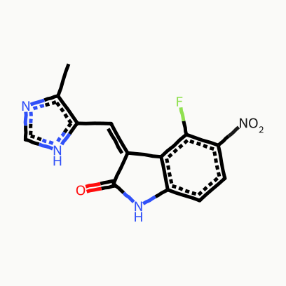 Cc1nc[nH]c1C=C1C(=O)Nc2ccc([N+](=O)[O-])c(F)c21